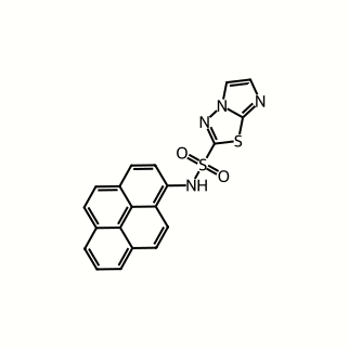 O=S(=O)(Nc1ccc2ccc3cccc4ccc1c2c34)c1nn2ccnc2s1